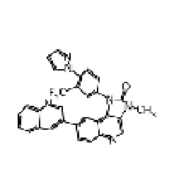 Cn1c(=O)n(-c2ccc(-n3cccn3)c(C(F)(F)F)c2)c2c3cc(-c4cnc5ccccc5c4)ccc3ncc21